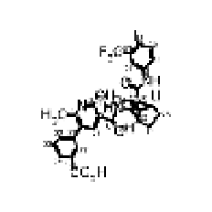 Cc1nc(O)c(C(=O)N[C@H]2[C@@H](C(=O)Nc3ccc(F)c(C(F)(F)F)c3)[C@H]3CC[C@@H]2/C3=C\C(F)(F)F)cc1-c1cccc(C(=O)O)c1